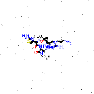 Cc1nn(C[C@H]2[C@H](NC(=O)C(=NOC3(C(=O)O)CC3)c3csc(N)n3)C(=O)N2S(=O)(=O)O)nc1CN(CCCN)C(=N)N